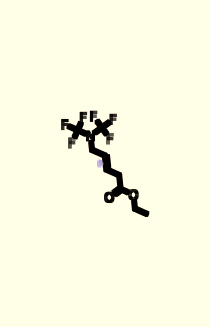 CCOC(=O)C/C=C/CN(C(F)(F)F)C(F)(F)F